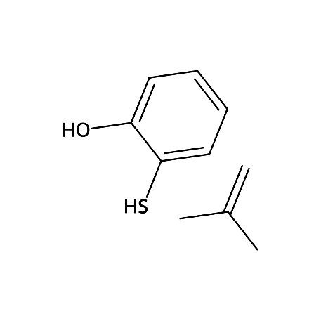 C=C(C)C.Oc1ccccc1S